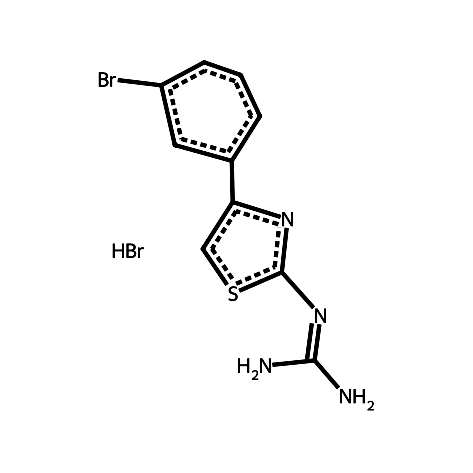 Br.NC(N)=Nc1nc(-c2cccc(Br)c2)cs1